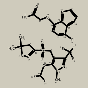 Cn1nc(C(F)(F)F)c(CS(=O)(=O)C2=NOC(C)(C)C2)c1OC(F)F.O=C(O)COc1ccc(Cl)c2cccnc12